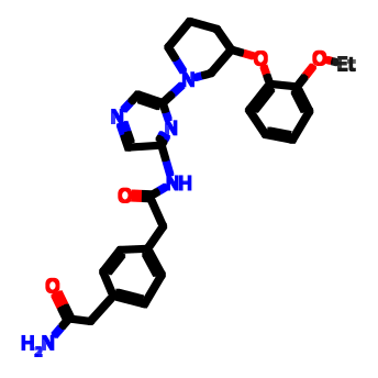 CCOc1ccccc1OC1CCCN(c2cncc(NC(=O)Cc3ccc(CC(N)=O)cc3)n2)C1